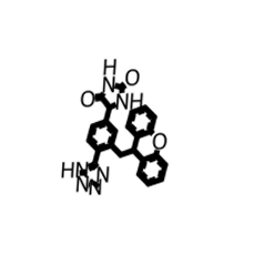 O=C1NC(=O)C(c2ccc(-c3nnn[nH]3)c(CC3c4ccccc4Oc4ccccc43)c2)N1